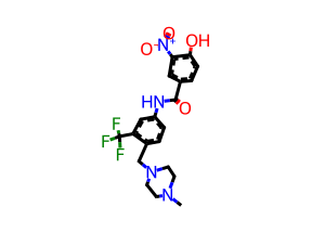 CN1CCN(Cc2ccc(NC(=O)c3ccc(O)c([N+](=O)[O-])c3)cc2C(F)(F)F)CC1